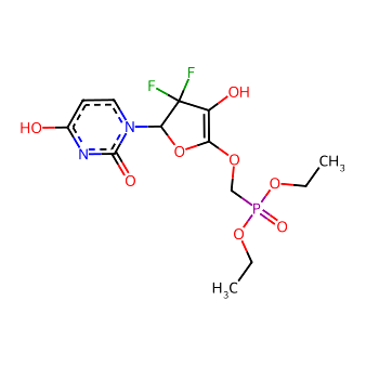 CCOP(=O)(COC1=C(O)C(F)(F)C(n2ccc(O)nc2=O)O1)OCC